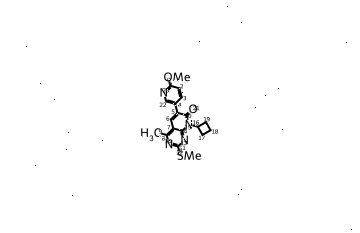 COc1ccc(-c2cc3c(C)nc(SC)nc3n(C3CCC3)c2=O)cn1